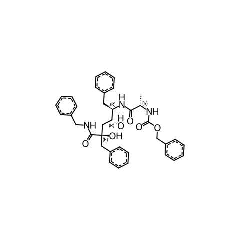 C[C@H](NC(=O)OCc1ccccc1)C(=O)N[C@H](Cc1ccccc1)[C@H](O)C[C@](O)(Cc1ccccc1)C(=O)NCc1ccccc1